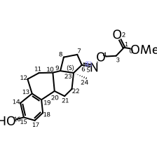 COC(=O)CO/N=C1\CCC2C3CCc4cc(O)ccc4C3CC[C@]12C